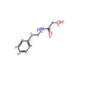 O=C(CO)NCCc1ccccc1